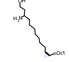 CCCCCCCC/C=C\CCCCCCCC(N)CCO